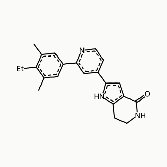 CCc1c(C)cc(-c2cc(-c3cc4c([nH]3)CCNC4=O)ccn2)cc1C